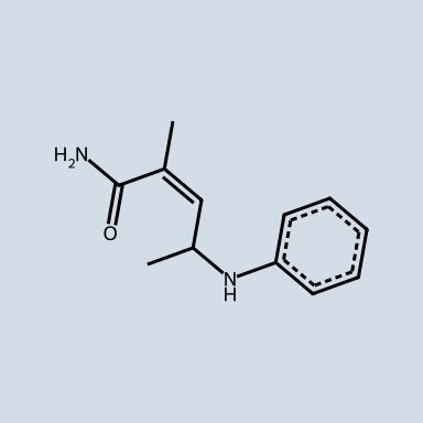 CC(=CC(C)Nc1ccccc1)C(N)=O